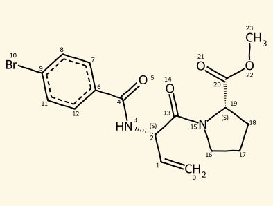 C=C[C@H](NC(=O)c1ccc(Br)cc1)C(=O)N1CCC[C@H]1C(=O)OC